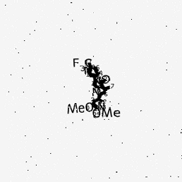 COc1cc(-c2cc(C)c3c(n2)CN(c2ccc(C(F)(F)F)nc2)C3=O)cnc1OC